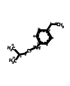 CCc1ccc(NCCC(C)C)cc1